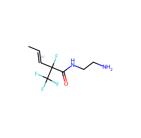 C/C=C/C(F)(C(=O)NCCN)C(F)(F)F